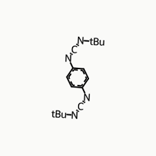 CC(C)(C)N=C=Nc1ccc(N=C=NC(C)(C)C)cc1